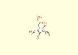 CN1C(=O)C(CC(O)CO)N(C)C1=O